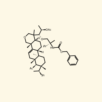 CC(=O)O[C@H](C)[C@H](OC[C@@](C)(NC(=O)OCc1ccccc1)C(C)C)C1(C)COC[C@@]2(C)C3=CC[C@@]4(C)[C@H](C(C)=O)[C@@](C)([C@H](C)C(C)C)CC[C@]4(C)[C@H]3CC[C@@H]12